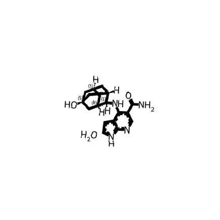 NC(=O)c1cnc2[nH]ccc2c1N[C@@H]1[C@@H]2C[C@@H]3C[C@H]1C[C@@](O)(C3)C2.O